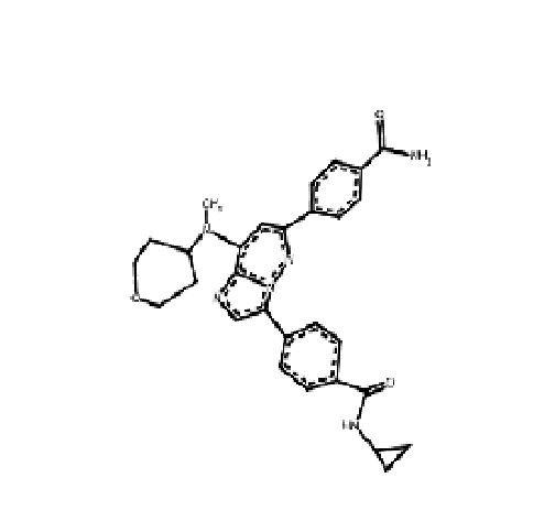 CN(c1cc(-c2ccc(C(N)=O)cc2)nn2c(-c3ccc(C(=O)NC4CC4)cc3)cnc12)C1CCOCC1